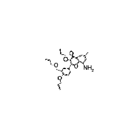 C=CCOCc1cc(-c2oc3c(N)cc(C)cc3c(=O)c2OCC=C)ccc1OCC=C